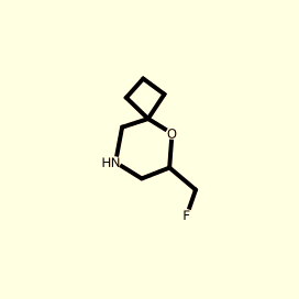 FCC1CNCC2(CCC2)O1